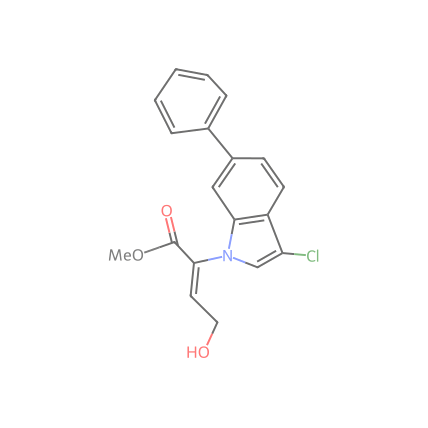 COC(=O)/C(=C/CO)n1cc(Cl)c2ccc(-c3ccccc3)cc21